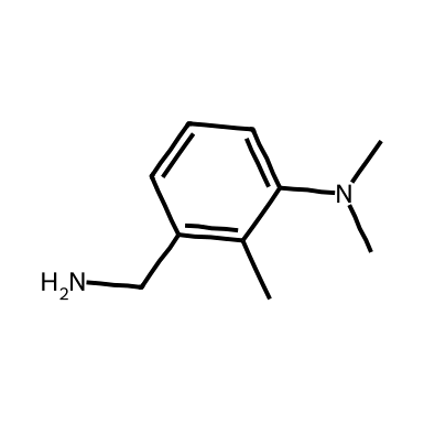 Cc1c(CN)cccc1N(C)C